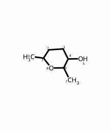 CC1CCC(O)C(C)O1